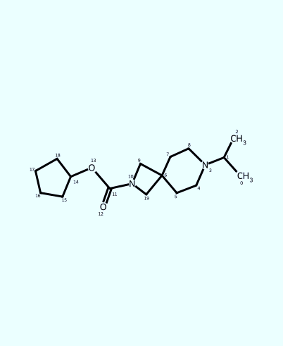 CC(C)N1CCC2(CC1)CN(C(=O)OC1CCCC1)C2